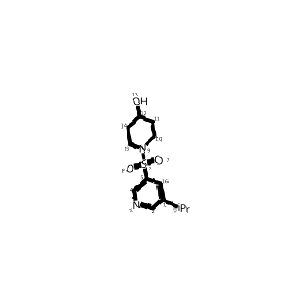 CC(C)c1cncc(S(=O)(=O)N2CCC(O)CC2)c1